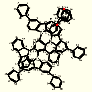 c1ccc(-c2ccc3c(c2)c2cc(-c4ccccc4)ccc2n3-c2nc(-n3c4ccccc4c4ccccc43)c(-n3c4ccc(-c5ccccc5)cc4c4cc(-c5ccccc5)ccc43)c(-c3ccncc3)c2-n2c3ccc(-c4ccccc4)cc3c3cc(-c4ccccc4)ccc32)cc1